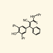 CCCNC(=S)C(C#N)=C(c1ccccc1)c1cc(C(C)C)c(O)c(C(C)C)c1